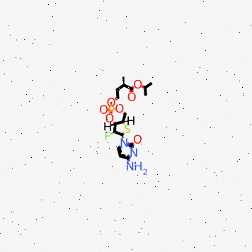 CC(C)OC(=O)[C@H](C)CCO[P@@]1(=O)OC[C@H]2S[C@@H](n3ccc(N)nc3=O)[C@@H](F)[C@@H]2O1